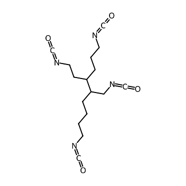 O=C=NCCCCC(CN=C=O)C(CCCN=C=O)CCN=C=O